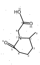 CC1CCCC(=O)N1CC(=O)O